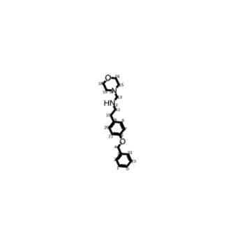 c1ccc(COc2ccc(CCNCN3CCOCC3)cc2)cc1